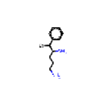 CCC(c1ccccc1)C(N)CCCN